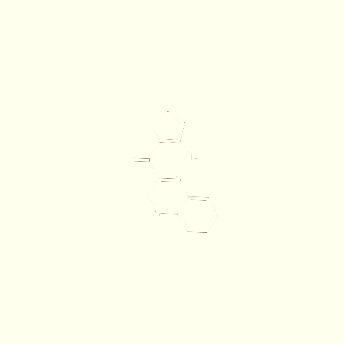 O=C(c1cnc2ccccc2n1)c1occc1Br